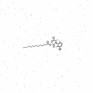 CCCCCCCCCCCCCC(=O)SCC(=O)N(c1c(C)ccc(Br)c1C)C(C)C(=O)OC